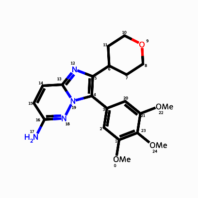 COc1cc(-c2c(C3CCOCC3)nc3ccc(N)nn23)cc(OC)c1OC